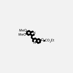 CCOC(=O)COc1ccc2ncc(Cc3cncc4cc(OC)c(OC)cc34)cc2c1